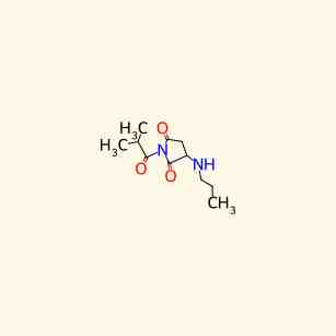 CCCNC1CC(=O)N(C(=O)C(C)C)C1=O